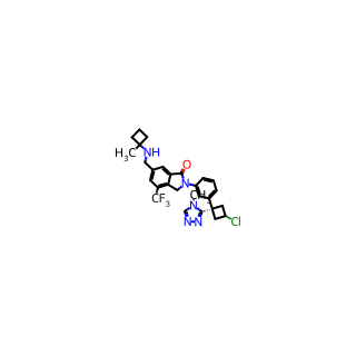 Cn1cnnc1[C@]1(c2cccc(N3Cc4c(cc(CNC5(C)CCC5)cc4C(F)(F)F)C3=O)c2)C[C@@H](Cl)C1